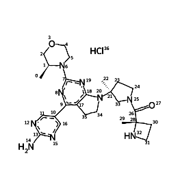 C[C@H]1COCCN1c1nc(-c2cnc(N)nc2)c2c(n1)N([C@@]1(C)CCN(C(=O)[C@]3(C)CCN3)C1)CC2.Cl